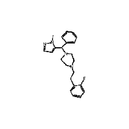 Cn1nccc1C(c1ccccc1)N1CCN(CCc2ccccc2F)CC1